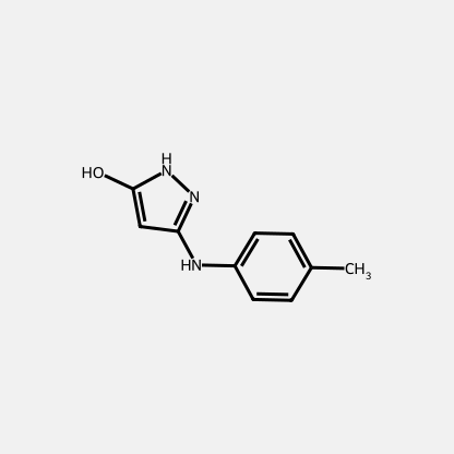 Cc1ccc(Nc2cc(O)[nH]n2)cc1